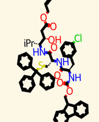 C=CCOC(=O)C[C@H](O)[C@H](NC(=O)[C@@H](CSC(c1ccccc1)(c1ccccc1)c1ccccc1)NC(=O)[C@@H](Cc1cccc(Cl)c1)NC(=O)OCC1c2ccccc2-c2ccccc21)C(C)C